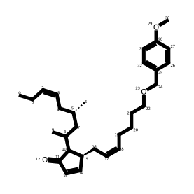 CC/C=C\C[C@H](C)CC(C)C1C(=O)C=C[C@@H]1C/C=C\CCCCOCc1ccc(OC)cc1